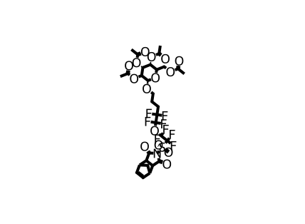 CC(=O)OCC1O[C@@H](OCCCC(F)(F)C(F)(F)OC(F)(F)C(F)(F)S(=O)(=O)N2C(=O)C3C4C=CC(C4)C3C2=O)C(OC(C)=O)[C@H](OC(C)=O)[C@@H]1OC(C)=O